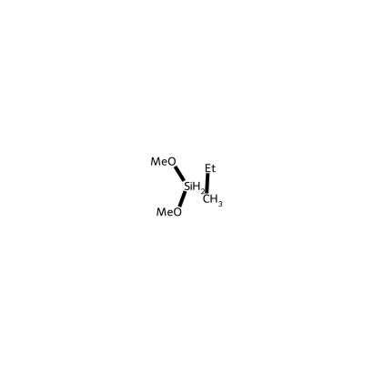 CCC.CO[SiH2]OC